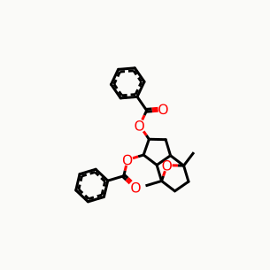 CC12CCC(C)(O1)C1C(OC(=O)c3ccccc3)C(OC(=O)c3ccccc3)CC12